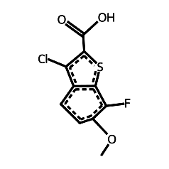 COc1ccc2c(Cl)c(C(=O)O)sc2c1F